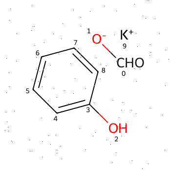 O=C[O-].Oc1ccccc1.[K+]